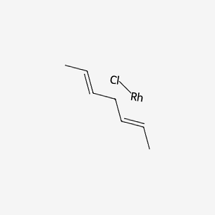 CC=CCC=CC.[Cl][Rh]